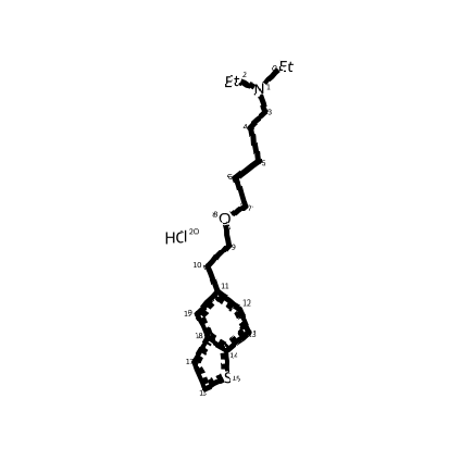 CCN(CC)CCCCCOCCc1ccc2sccc2c1.Cl